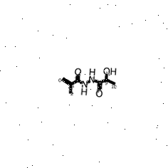 C=C(C)C(=O)NNC(=O)C(C)O